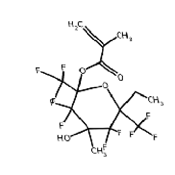 C=C(C)C(=O)OC1(C(F)(F)F)OC(CC)(C(F)(F)F)C(F)(F)C(C)(O)C1(F)F